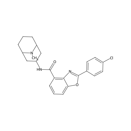 CN1C2CCCC1CC(NC(=O)c1cccc3oc(-c4ccc(Cl)cc4)nc13)C2